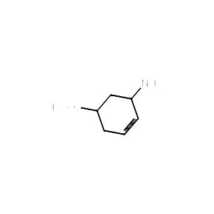 NC1C=CCC(C(=O)O)C1